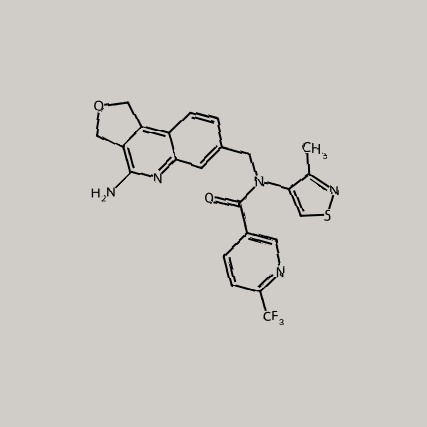 Cc1nscc1N(Cc1ccc2c3c(c(N)nc2c1)COC3)C(=O)c1ccc(C(F)(F)F)nc1